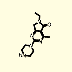 CCN1Cc2nc(N3CCNCC3)nc(C)c2C1=O